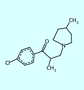 CC1CCN(CC(C)C(=O)c2ccc(Cl)cc2)CC1